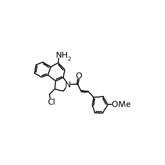 COc1cccc(/C=C/C(=O)N2CC(CCl)c3c2cc(N)c2ccccc32)c1